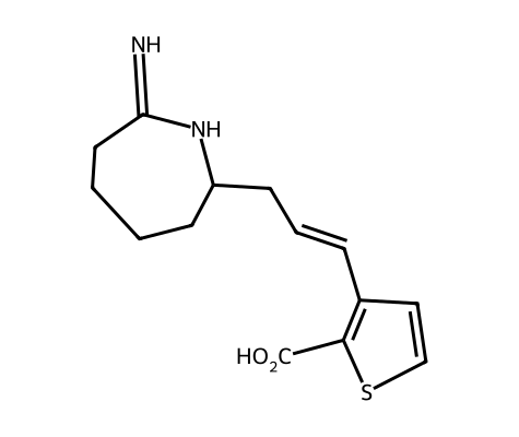 N=C1CCCCC(CC=Cc2ccsc2C(=O)O)N1